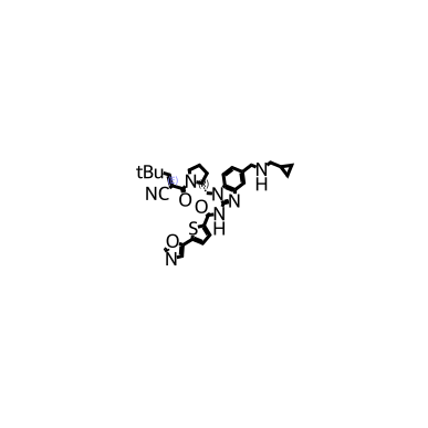 CC(C)(C)/C=C(\C#N)C(=O)N1CCC[C@@H]1Cn1c(NC(=O)c2ccc(-c3cnco3)s2)nc2cc(CNCC3CC3)ccc21